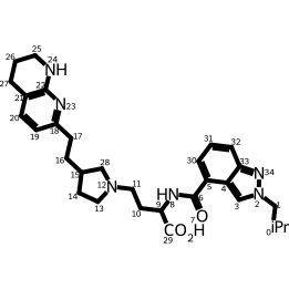 CC(C)Cn1cc2c(C(=O)NC(CCN3CCC(CCc4ccc5c(n4)NCCC5)C3)C(=O)O)cccc2n1